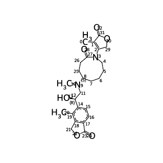 CC1=C(N2CCCC[C@H](N(C)C[C@H](O)c3ccc4c(c3C)COC4=O)CCC2=O)COC1=O